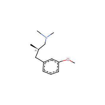 COc1cccc(C[C@@H](C)CN(C)C)c1